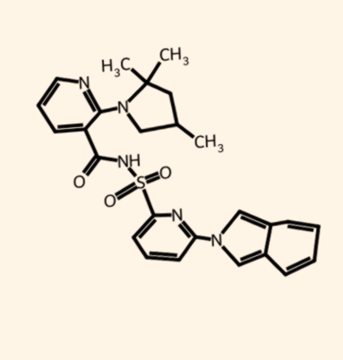 CC1CN(c2ncccc2C(=O)NS(=O)(=O)c2cccc(-n3cc4ccccc4c3)n2)C(C)(C)C1